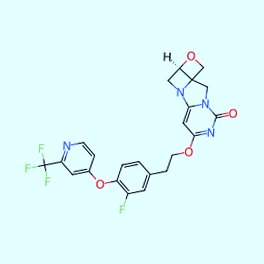 O=c1nc(OCCc2ccc(Oc3ccnc(C(F)(F)F)c3)c(F)c2)cc2n1CC13CO[C@@H]1CN23